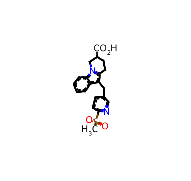 CS(=O)(=O)c1ccc(Cc2c3n(c4ccccc24)CC(C(=O)O)CC3)cn1